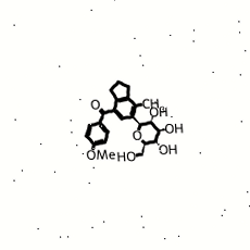 COc1ccc(C(=O)c2cc([C@@H]3O[C@H](CO)[C@@H](O)[C@H](O)[C@H]3O)c(C)c3c2CCC3)cc1